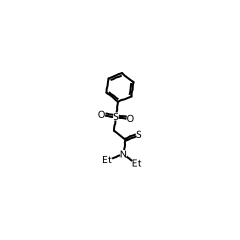 CCN(CC)C(=S)CS(=O)(=O)c1ccccc1